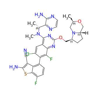 C[C@@H]1CN2[C@H](COc3nc(N(C)[C@H](C)c4nccnc4N)c4cc(Cl)c(-c5ccc(F)c6sc(N)c(C#N)c56)c(F)c4n3)CC[C@H]2CO1